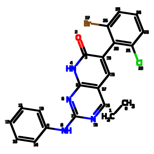 CC.O=c1[nH]c2nc(Nc3ccccc3)ncc2cc1-c1c(Cl)cccc1Br